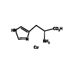 NC(Cc1c[nH]cn1)C(=O)O.[Cu]